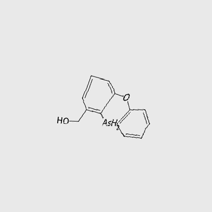 OCc1cccc(Oc2ccccc2)c1[AsH2]